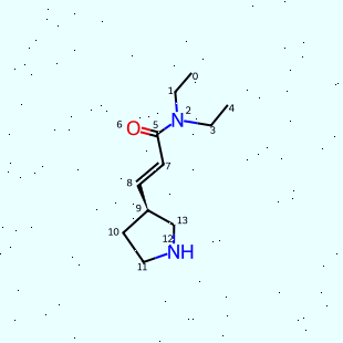 CCN(CC)C(=O)C=C[C@@H]1CCNC1